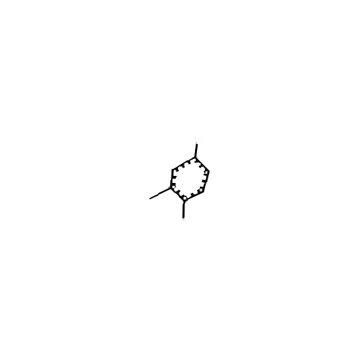 Bc1ccc(F)c(C)c1